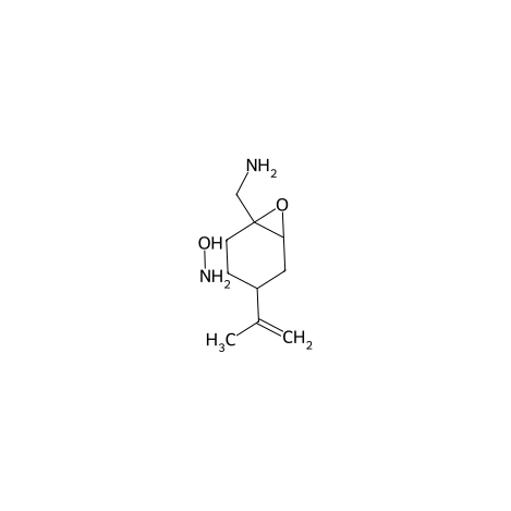 C=C(C)C1CCC2(CN)OC2C1.NO